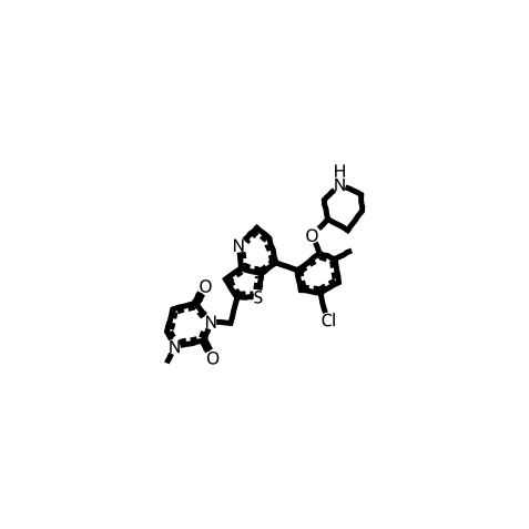 Cc1cc(Cl)cc(-c2ccnc3cc(Cn4c(=O)ccn(C)c4=O)sc23)c1OC1CCCNC1